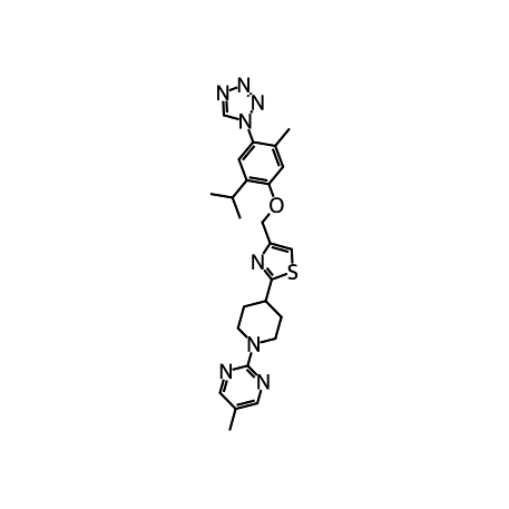 Cc1cnc(N2CCC(c3nc(COc4cc(C)c(-n5cnnn5)cc4C(C)C)cs3)CC2)nc1